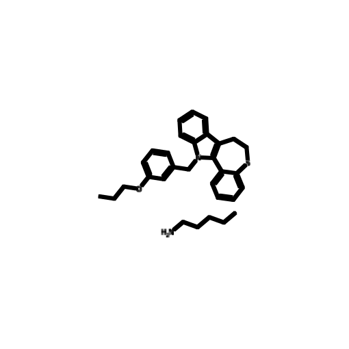 CCCCCN.CCCOc1cccc(Cn2c3c(c4ccccc42)CCSc2ccccc2-3)c1